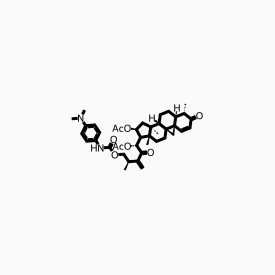 C=C(C(=O)[C@H](OC(C)=O)C1[C@@H](OC(C)=O)C[C@@]2(C)[C@@H]3CC[C@H]4[C@H](C)C(=O)C=C[C@@]45C[C@@]35CC[C@]12C)[C@@H](C)COC(=O)Nc1ccc(N(C)C)cc1